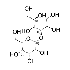 OCC1O[C@H](O[C@H](C(O)CO)C(O)[C@H](O)CO)C(O)C(O)[C@@H]1O